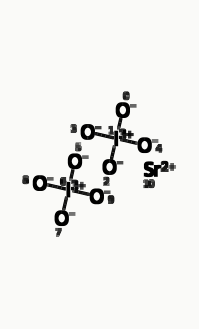 [O-][I+3]([O-])([O-])[O-].[O-][I+3]([O-])([O-])[O-].[Sr+2]